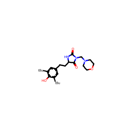 CC(C)(C)c1cc(CCC2NC(=O)N(CN3CCOCC3)C2=O)cc(C(C)(C)C)c1O